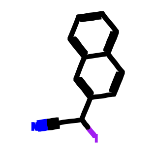 N#CC(I)c1ccc2ccccc2c1